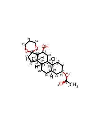 CC(=O)O[C@@H]1CC[C@]2(C)C3CC(O)[C@@]4(C)[C@@H](CCC45OCCCO5)[C@@H]3CC[C@@H]2C1